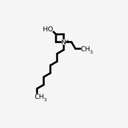 CCCCCCCCC[N+]1(CCC)CC(O)C1